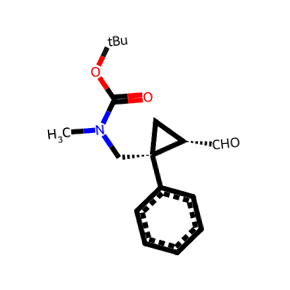 CN(C[C@]1(c2ccccc2)C[C@@H]1C=O)C(=O)OC(C)(C)C